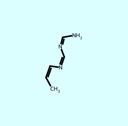 C\C=C/N=C\N=C/N